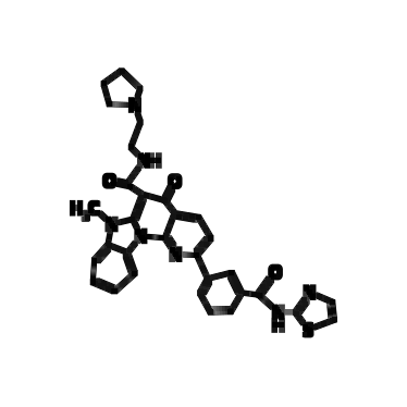 Cn1c2ccccc2n2c3nc(-c4cccc(C(=O)Nc5nccs5)c4)ccc3c(=O)c(C(=O)NCCN3CCCC3)c12